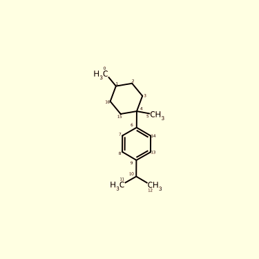 CC1CCC(C)(c2ccc(C(C)C)cc2)CC1